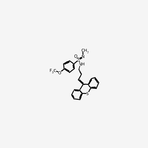 CN=S(=O)(NCCC=C1c2ccccc2Sc2ccccc21)c1ccc(OC(F)(F)F)cc1